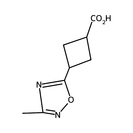 Cc1noc(C2CC(C(=O)O)C2)n1